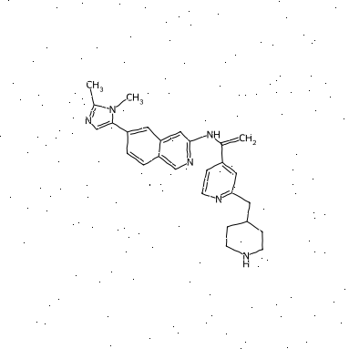 C=C(Nc1cc2cc(-c3cnc(C)n3C)ccc2cn1)c1ccnc(CC2CCNCC2)c1